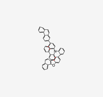 c1ccc(-c2ccccc2N(c2ccc(-c3ccc4c(ccc5ccccc54)c3)cc2)c2ccccc2-c2ccc3oc4c5ccccc5ccc4c3c2)cc1